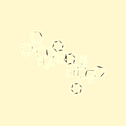 CC1(C)C2=C(c3cccc(-c4ccc(C5NC6=C(SC7C=CC=CC67)C(c6ccccc6)N5)cc4)c31)C1C3C=CCCC3C3(CCCCC3)C1CC2